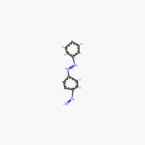 [N]=Nc1ccc(/N=N/c2ccccc2)cc1